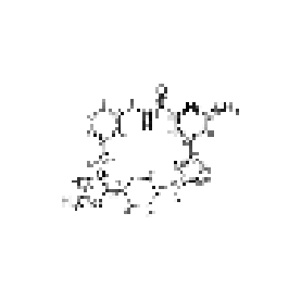 CCOc1cccc(CNC(=O)c2cc(-c3nnn(C[C@H]4CC[C@H](C(=O)OC)CC4)n3)cc(C)n2)c1